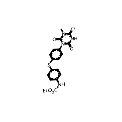 CCOC(=O)Nc1ccc(Sc2ccc(-n3c(=O)[nH]c(=O)n(C)c3=O)cc2)cc1